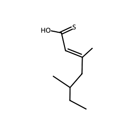 CCC(C)CC(C)=CC(O)=S